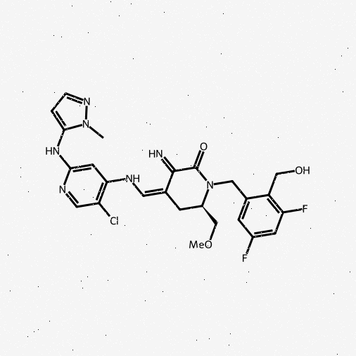 COC[C@H]1C/C(=C/Nc2cc(Nc3ccnn3C)ncc2Cl)C(=N)C(=O)N1Cc1cc(F)cc(F)c1CO